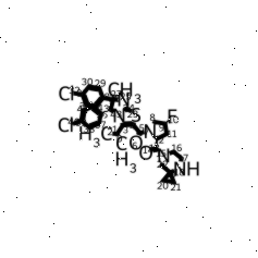 CC(C)C1=C(C(=O)N2C[C@H](F)C[C@H]2C(=O)N2CCNC3(CC3)C2)SC2=N[C@@](C)(c3ccc(Cl)cc3)[C@@H](c3ccc(Cl)cc3)N21